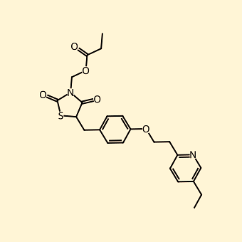 CCC(=O)OCN1C(=O)SC(Cc2ccc(OCCc3ccc(CC)cn3)cc2)C1=O